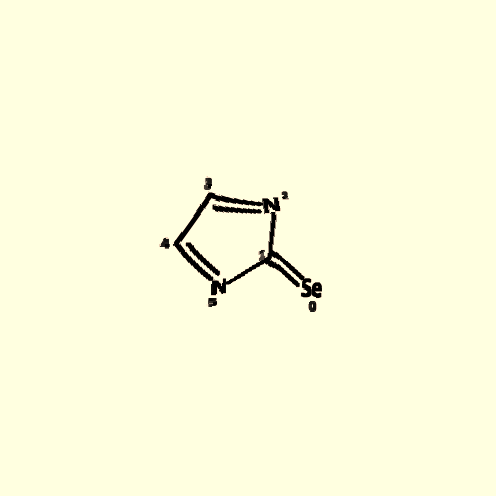 [Se]=C1N=CC=N1